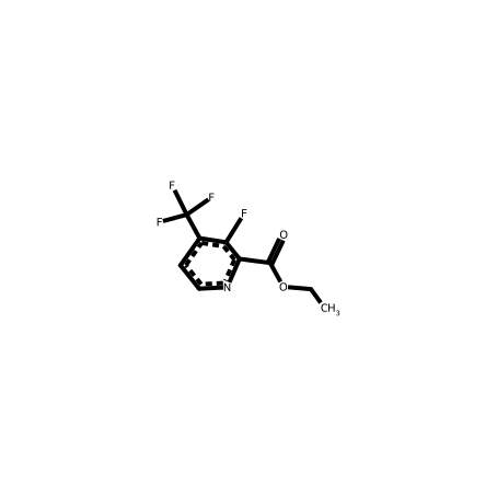 CCOC(=O)c1nccc(C(F)(F)F)c1F